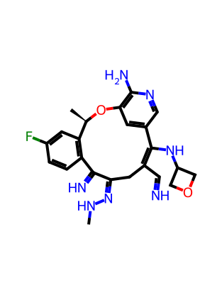 CN/N=C1/C/C(C=N)=C(/NC2COC2)c2cnc(N)c(c2)O[C@H](C)c2cc(F)ccc2C1=N